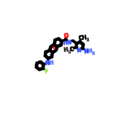 Cc1cc(N)nc(C)c1CNC(=O)c1ccc2c(c1)c1oc2c2ccc(Nc3ccccc3F)cc21